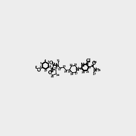 COc1cccc([C@]2(C(=O)N(C)CCCC3CCN(c4ccc(C(=O)N(C)C)c(Cl)n4)CC3)CCCO2)c1